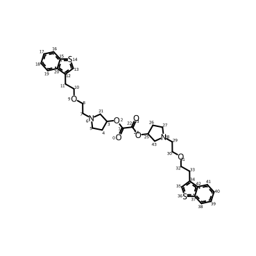 O=C(OC1CCN(CCOCCc2csc3ccccc23)C1)C(=O)OC1CCN(CCOCCc2csc3ccccc23)C1